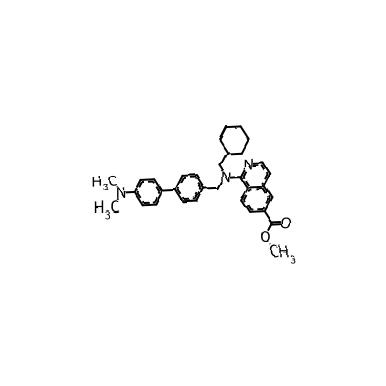 COC(=O)c1ccc2c(N(Cc3ccc(-c4ccc(N(C)C)cc4)cc3)CC3CCCCC3)nccc2c1